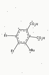 CCCCc1c(CC)c(CC)cc(C(=O)O)c1C(=O)O